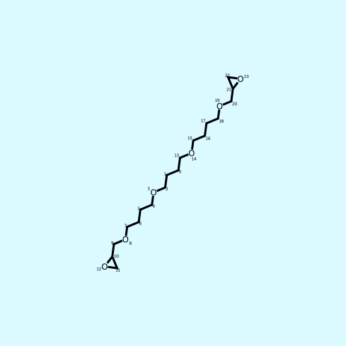 C(CCOCCCCOCC1CO1)COCCCCOCC1CO1